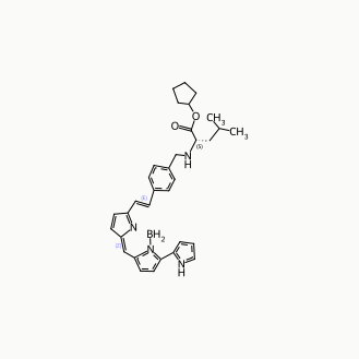 Bn1c(/C=C2/C=CC(/C=C/c3ccc(CN[C@@H](CC(C)C)C(=O)OC4CCCC4)cc3)=N2)ccc1-c1ccc[nH]1